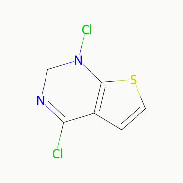 ClC1=NCN(Cl)c2sccc21